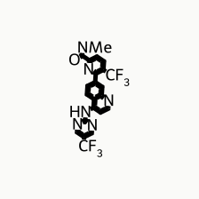 CNC(=O)c1ccc(C(F)(F)F)c(-c2ccc3c(Nc4ncc(C(F)(F)F)cn4)ccnc3c2)n1